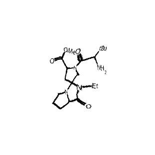 CCN1C(=O)C2CCCN2C12CC(C(=O)OC)N(C(=O)C(N)C(C)(C)C)C2